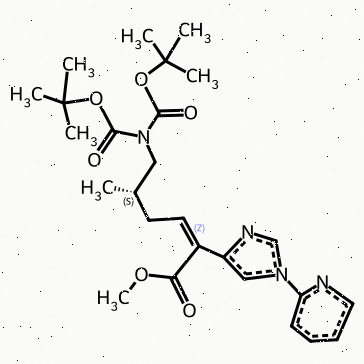 COC(=O)/C(=C\C[C@H](C)CN(C(=O)OC(C)(C)C)C(=O)OC(C)(C)C)c1cn(-c2ccccn2)cn1